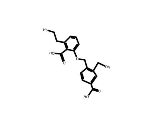 O=C(O)c1ccc(COc2cccc(CCS)c2C(=O)O)c(CO)c1